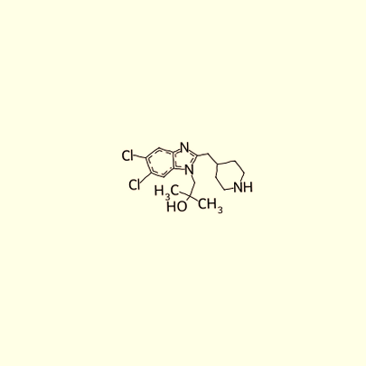 CC(C)(O)Cn1c(CC2CCNCC2)nc2cc(Cl)c(Cl)cc21